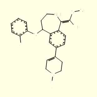 C/C(NN)=C1/NCCC(Nc2ccccc2Cl)c2cc(C3=CCN(C)CC3)ccc21